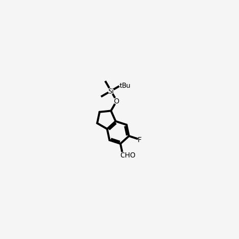 CC(C)(C)[Si](C)(C)OC1CCc2cc(C=O)c(F)cc21